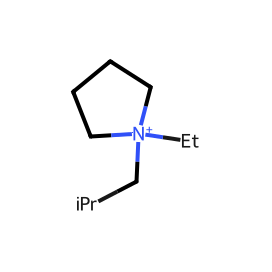 CC[N+]1(CC(C)C)CCCC1